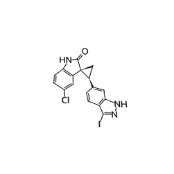 O=C1Nc2ccc(Cl)cc2[C@]12C[C@H]2c1ccc2c(I)n[nH]c2c1